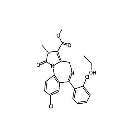 CCO.COC(=O)c1c2n(c(=O)n1C)-c1ccc(Cl)cc1C(c1ccccc1Cl)=NC2